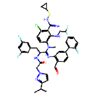 CC(C)c1ccn(CC(=O)NC(Cc2cc(F)cc(F)c2)/C(=N/c2cc(-c3ccccc3F)ccc2C=O)N(C)c2ccc(Cl)c(C(=N)NSC3CC3)c2NCC(F)F)n1